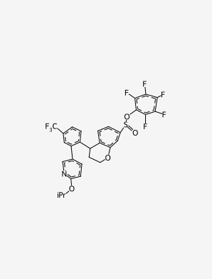 CC(C)Oc1ccc(-c2cc(C(F)(F)F)ccc2C2CCOc3cc(S(=O)Oc4c(F)c(F)c(F)c(F)c4F)ccc32)cn1